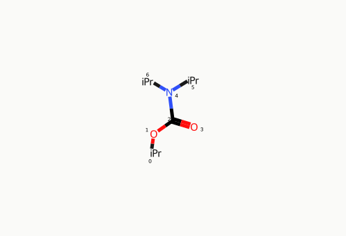 CC(C)OC(=O)N(C(C)C)C(C)C